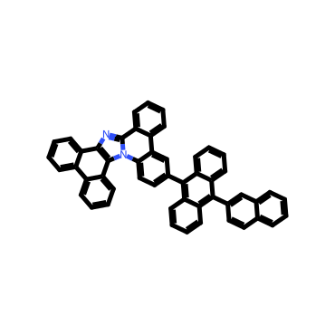 c1ccc2cc(-c3c4ccccc4c(-c4ccc5c(c4)c4ccccc4c4nc6c7ccccc7c7ccccc7c6n54)c4ccccc34)ccc2c1